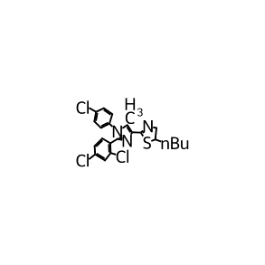 CCCCC1CN=C(c2nc(-c3ccc(Cl)cc3Cl)n(-c3ccc(Cl)cc3)c2C)S1